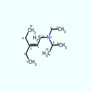 CCC(=C[SiH2]N(CC)C(C)C)CC